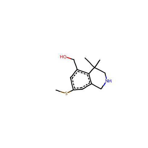 CSc1cc(CO)c2c(c1)CNCC2(C)C